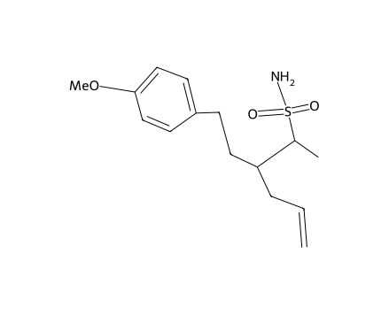 C=CCC(CCc1ccc(OC)cc1)C(C)S(N)(=O)=O